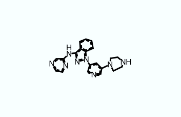 c1ccc2c(c1)c(Nc1cnccn1)nn2-c1cncc(N2CCNCC2)c1